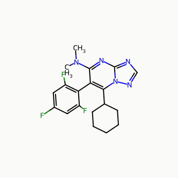 CN(C)c1nc2ncnn2c(C2CCCCC2)c1-c1c(F)cc(F)cc1F